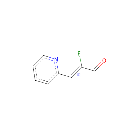 O=C/C(F)=C/c1ccccn1